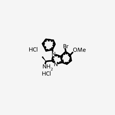 COc1ccc2nc([C@H](C)N)n(-c3ccccc3)c2c1Br.Cl.Cl